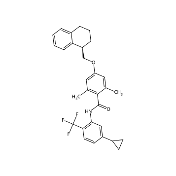 Cc1cc(OC[C@@H]2CCCc3ccccc32)cc(C)c1C(=O)Nc1cc(C2CC2)ccc1C(F)(F)F